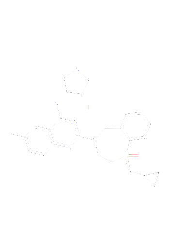 Cc1ccc2nc(N3CCS(=O)(=NC4CC4)c4ccccc4C3)nc(N[C@@H]3CNC[C@@H]3F)c2c1